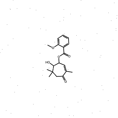 COc1ccccc1C(=O)OC1C=C(C)C(=O)CC(C)(C)C1O